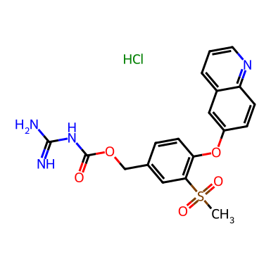 CS(=O)(=O)c1cc(COC(=O)NC(=N)N)ccc1Oc1ccc2ncccc2c1.Cl